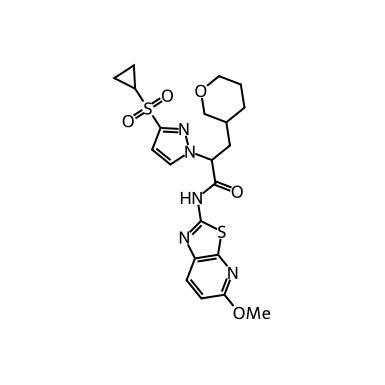 COc1ccc2nc(NC(=O)C(CC3CCCOC3)n3ccc(S(=O)(=O)C4CC4)n3)sc2n1